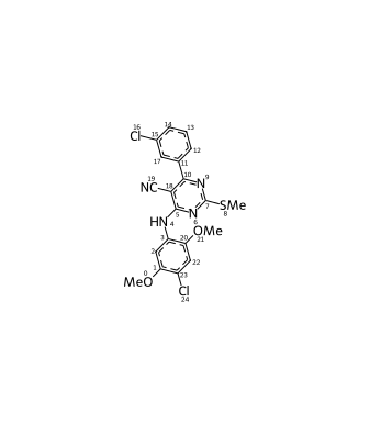 COc1cc(Nc2nc(SC)nc(-c3cccc(Cl)c3)c2C#N)c(OC)cc1Cl